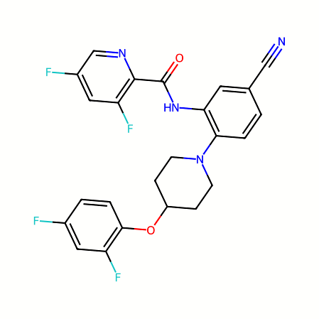 N#Cc1ccc(N2CCC(Oc3ccc(F)cc3F)CC2)c(NC(=O)c2ncc(F)cc2F)c1